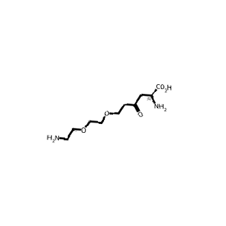 NCCOCCOCCC(=O)C[C@H](N)C(=O)O